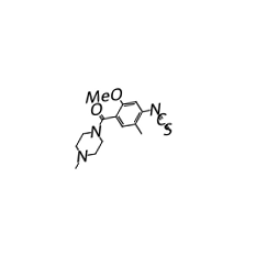 COc1cc(N=C=S)c(C)cc1C(=O)N1CCN(C)CC1